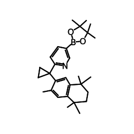 Cc1cc2c(cc1C1(c3ccc(B4OC(C)(C)C(C)(C)O4)cn3)CC1)C(C)(C)CCC2(C)C